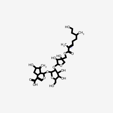 C=C1C(O)CC2C(C(=O)O)=COC(OC3OC(CO)C(O)C(O)C3OC3OCC(O)(COC(=O)/C(C)=C/CCC(C)CCO)C3O)C12